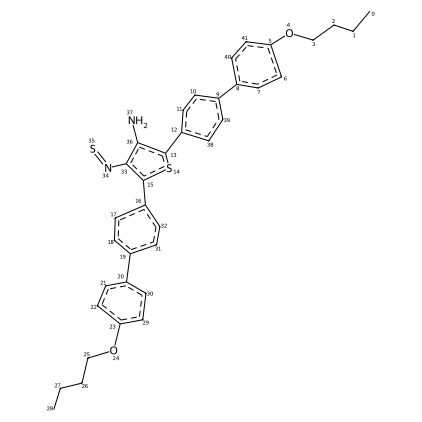 CCCCOc1ccc(-c2ccc(-c3sc(-c4ccc(-c5ccc(OCCCC)cc5)cc4)c(N=S)c3N)cc2)cc1